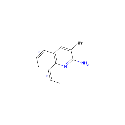 C/C=C\c1cc(C(C)C)c(N)nc1/C=C\C